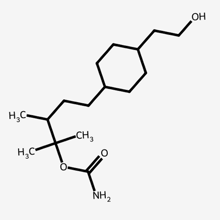 CC(CCC1CCC(CCO)CC1)C(C)(C)OC(N)=O